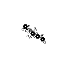 Cc1cc(NC(=O)NC(=O)c2c(F)cccc2Cl)c(C)c(Cl)c1Oc1ccc([S+]([O-])c2ccc(Cl)cc2)cc1